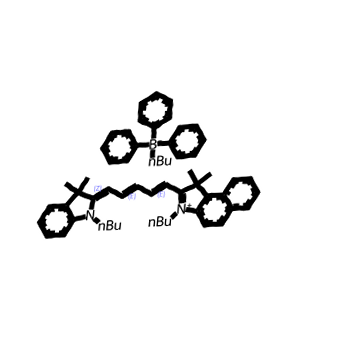 CCCCN1\C(=C/C=C/C=C/C2=[N+](CCCC)c3ccc4ccccc4c3C2(C)C)C(C)(C)c2ccccc21.CCCC[B-](c1ccccc1)(c1ccccc1)c1ccccc1